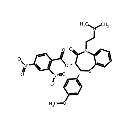 COc1ccc([C@H]2Sc3ccccc3N(CCN(C)C)C(=O)[C@H]2OC(=O)c2ccc([N+](=O)[O-])cc2[N+](=O)[O-])cc1